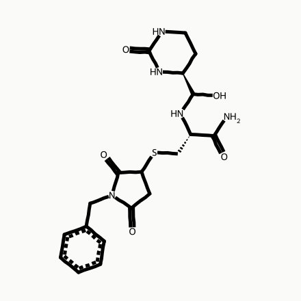 NC(=O)[C@H](CSC1CC(=O)N(Cc2ccccc2)C1=O)NC(O)[C@@H]1CCNC(=O)N1